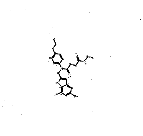 CCCc1ccc(N(Cc2nc3cc(F)cc(F)c3s2)C(=O)CCC(=O)OCC)cc1